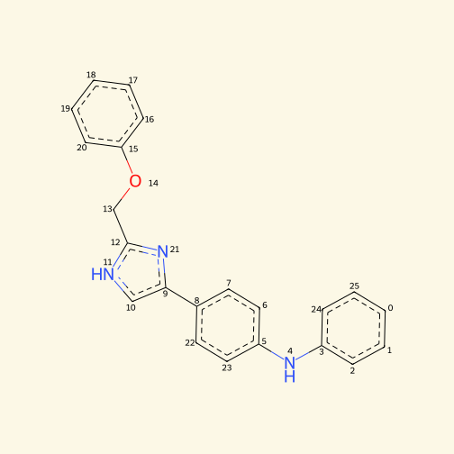 c1ccc(Nc2ccc(-c3c[nH]c(COc4ccccc4)n3)cc2)cc1